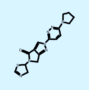 O=C1c2cn(-c3ccc(N4CCCC4)nn3)nc2CN1C1CN=CS1